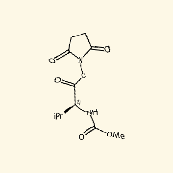 COC(=O)N[C@H](C(=O)ON1C(=O)CCC1=O)C(C)C